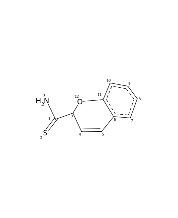 NC(=S)C1C=Cc2ccccc2O1